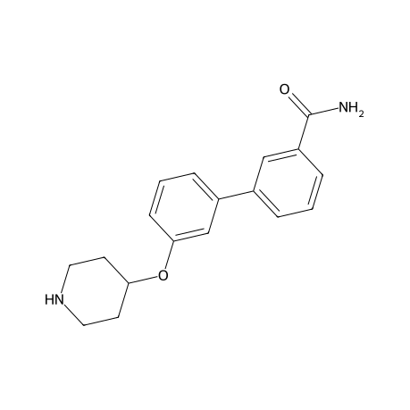 NC(=O)c1cccc(-c2cccc(OC3CCNCC3)c2)c1